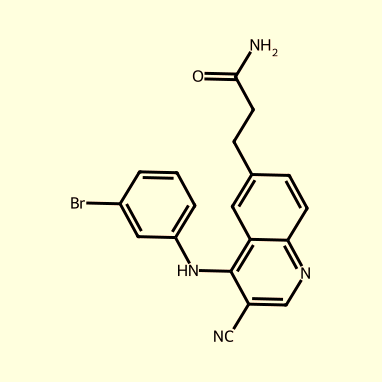 N#Cc1cnc2ccc(CCC(N)=O)cc2c1Nc1cccc(Br)c1